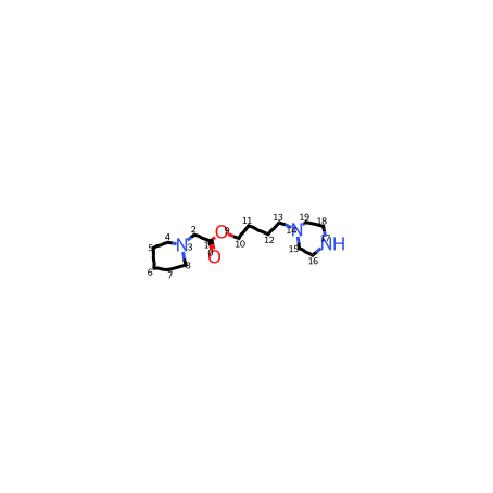 O=C(CN1CCCCC1)OCCCCN1CCNCC1